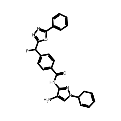 Nc1cn(C2C=CC=CC2)nc1NC(=O)c1ccc(C(F)c2nnc(-c3ccccc3)o2)cc1